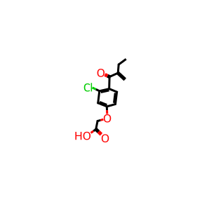 C=C(CC)C(=O)c1ccc(OCC(=O)O)cc1Cl